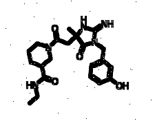 CCNC(=O)C1CCCN(C(=O)CC2(C)NC(=N)N(Cc3cccc(O)c3)C2=O)C1